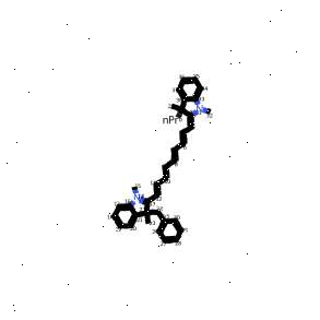 CCCC1(C)\C(=C/C=C/C=C/C=C/C=C/C2=[N+](C)c3ccccc3C2(C)Cc2ccccc2)N(C)c2ccccc21